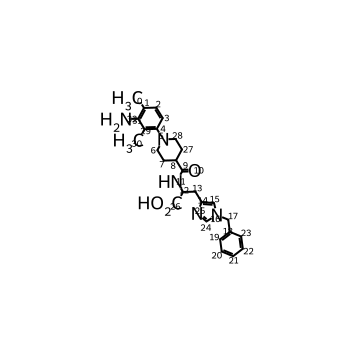 Cc1ccc(N2CCC(C(=O)NC(Cc3cn(Cc4ccccc4)cn3)C(=O)O)CC2)c(C)c1N